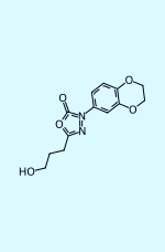 O=c1oc(CCCO)nn1-c1ccc2c(c1)OCCO2